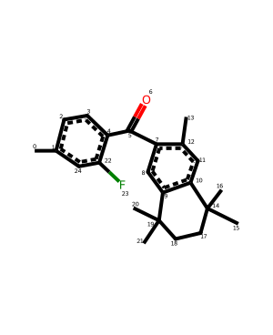 Cc1ccc(C(=O)c2cc3c(cc2C)C(C)(C)CCC3(C)C)c(F)c1